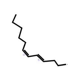 [CH2]CC/C=C/C=C\CCCCC